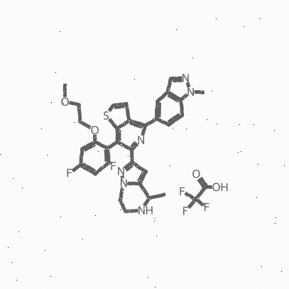 COCCOc1cc(F)cc(F)c1-c1c(-c2cc3n(n2)CCNC3C)nc(-c2ccc3c(cnn3C)c2)c2ccsc12.O=C(O)C(F)(F)F